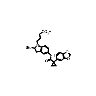 CC(C)(C)C1Cc2cc(NC(=O)C3(c4ccc5c(c4)OCO5)CC3)ccc2N1CCCC(=O)O